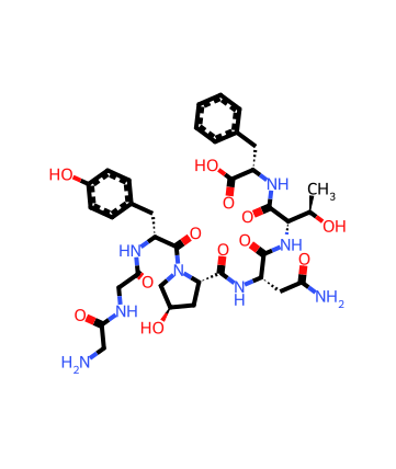 C[C@@H](O)[C@H](NC(=O)[C@H](CC(N)=O)NC(=O)[C@@H]1C[C@@H](O)CN1C(=O)[C@@H](Cc1ccc(O)cc1)NC(=O)CNC(=O)CN)C(=O)N[C@@H](Cc1ccccc1)C(=O)O